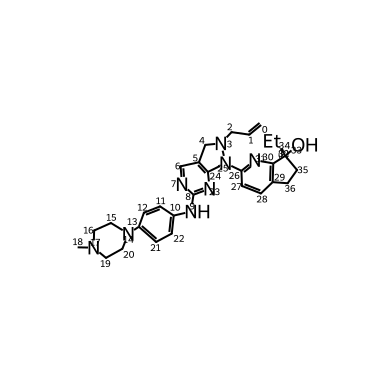 C=CCN1Cc2cnc(Nc3ccc(N4CCN(C)CC4)cc3)nc2N1c1ccc2c(n1)[C@@](O)(CC)CC2